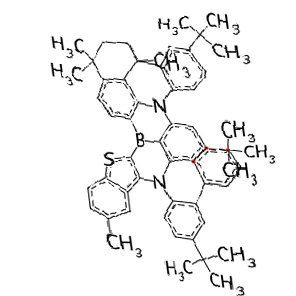 Cc1ccc2sc3c(c2c1)N(c1ccc(C(C)(C)C)cc1-c1ccccc1)c1cc(C(C)(C)C)cc2c1B3c1ccc3c4c1N2c1ccc(C(C)(C)C)cc1C4(C)CCC3(C)C